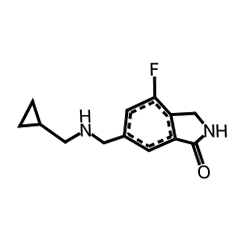 O=C1NCc2c(F)cc(CNCC3CC3)cc21